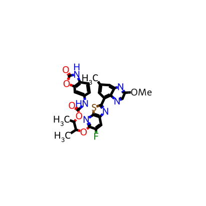 COc1cnc2c(-c3nc4cc(F)c(OC(C)C(C)OC(=O)Nc5ccc6[nH]c(=O)oc6c5)nc4s3)cc(C)cc2n1